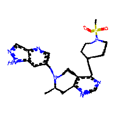 C[C@@H]1Cc2ncnc(C3CCN(S(C)(=O)=O)CC3)c2CN1c1cnc2cn[nH]c2c1